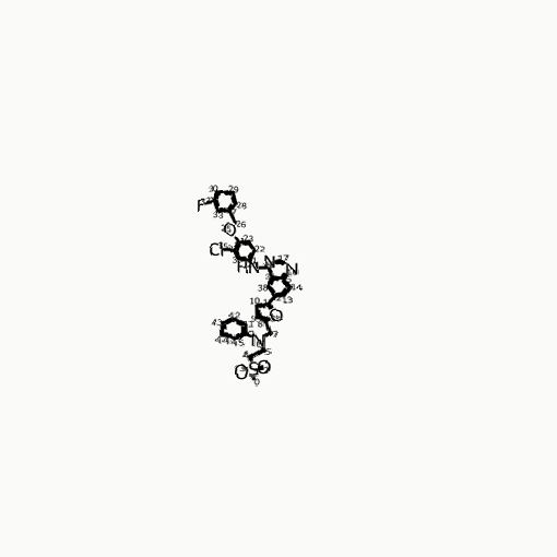 CS(=O)(=O)CCN(Cc1ccc(-c2ccc3ncnc(Nc4ccc(OCc5cccc(F)c5)c(Cl)c4)c3c2)o1)c1ccccc1